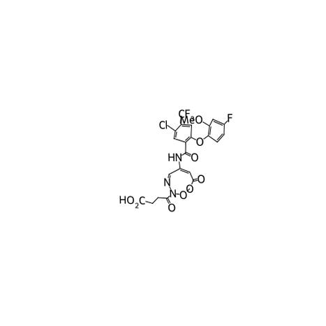 COc1cc(F)ccc1Oc1cc(C(F)(F)F)c(Cl)cc1C(=O)Nc1cnn(C(=O)CCC(=O)O)ooc(=O)c1